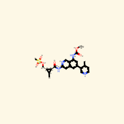 Cc1ccncc1-c1cc(NC(=O)OC(C)(C)C)c2cnc(NC(=O)[C@H]3C(C)[C@@H]3COS(C)(=O)=O)cc2c1